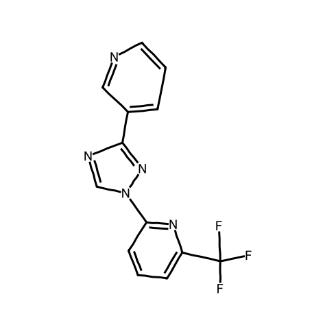 FC(F)(F)c1cccc(-n2cnc(-c3cccnc3)n2)n1